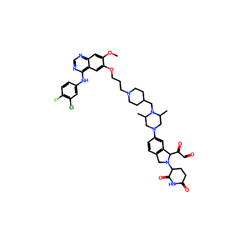 COc1cc2ncnc(Nc3ccc(F)c(Cl)c3)c2cc1OCCCN1CCC(CN2C(C)CN(c3ccc4c(c3)C(C(=O)C=O)N(C3CCC(=O)NC3=O)C4)CC2C)CC1